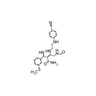 CSc1cccc(C(=N)/C(C(N)=O)=C(/CNC=O)NCCNc2ccc(C#N)cc2)c1